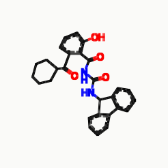 O=C(NC(=O)c1c(O)cccc1C(=O)C1CCCCC1)NC1c2ccccc2-c2ccccc21